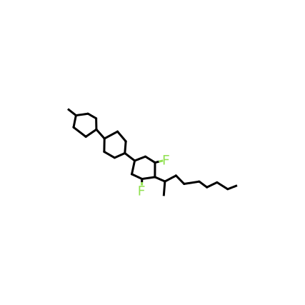 CCCCCCCC(C)C1C(F)CC(C2CCC(C3CCC(C)CC3)CC2)CC1F